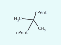 [CH2]CCCCC(C)(C)CCCCC